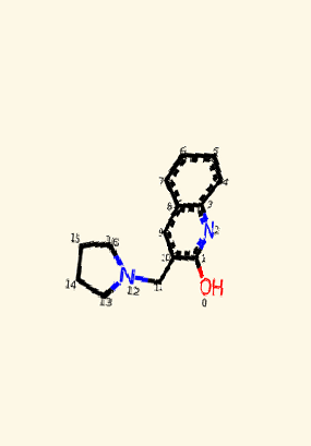 Oc1nc2ccccc2cc1CN1CCCC1